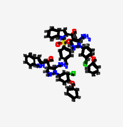 Cc1ccc(S(=O)(=O)n2c(C(=O)c3cnn(-c4ccc(Oc5ccccc5)c(Cl)c4)c3N)cc3ccccc32)cc1.Nc1c(C(=O)c2cc3ccccc3[nH]2)cnn1-c1ccc(Oc2ccccc2)c(Cl)c1